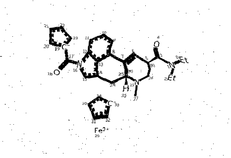 CCN(CC)C(=O)[C@@H]1C=C2c3cccc4c3c(cn4C(=O)[c-]3cccc3)C[C@H]2N(C)C1.[Fe+2].c1cc[cH-]c1